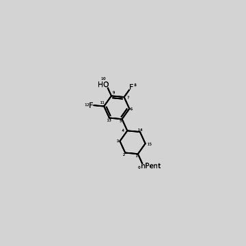 CCCCCC1CCC(c2cc(F)c(O)c(F)c2)CC1